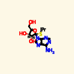 CC(C)S[C@@]1(n2cnc3c(N)ncnc32)O[C@H](CO)[C@@H](O)[C@H]1O